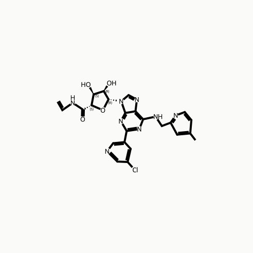 C=CNC(=O)[C@H]1O[C@@H](n2cnc3c(NCc4cc(C)ccn4)nc(-c4cncc(Cl)c4)nc32)[C@H](O)[C@@H]1O